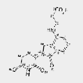 O=C(O)CCNc1cccc2c1CN(C1CCC(=O)NC1=O)C2=O